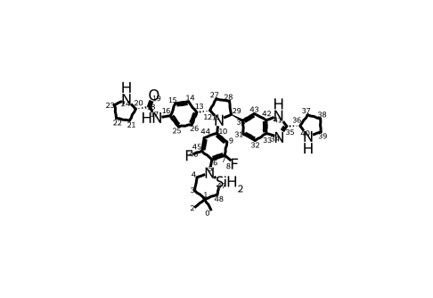 CC1(C)CCN(c2c(F)cc(N3[C@H](c4ccc(NC(=O)[C@@H]5CCCN5)cc4)CC[C@H]3c3ccc4nc([C@@H]5CCCN5)[nH]c4c3)cc2F)[SiH2]C1